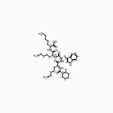 NCCCC[C@H](NC(=O)[C@H](CCCCN)NC(=O)[C@H](Cc1c[nH]c2ccccc12)NC(=O)[C@H](CCCCN)NC(=O)[C@@H]1CCCCN1)C(=O)O